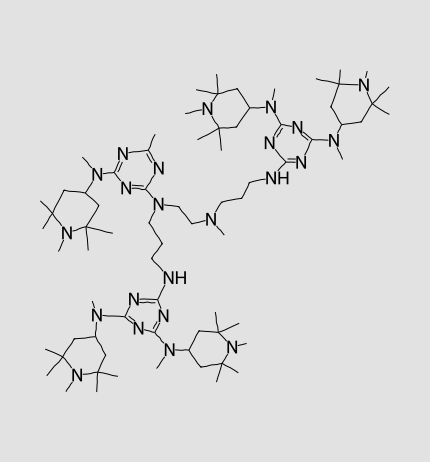 Cc1nc(N(CCCNc2nc(N(C)C3CC(C)(C)N(C)C(C)(C)C3)nc(N(C)C3CC(C)(C)N(C)C(C)(C)C3)n2)CCN(C)CCCNc2nc(N(C)C3CC(C)(C)N(C)C(C)(C)C3)nc(N(C)C3CC(C)(C)N(C)C(C)(C)C3)n2)nc(N(C)C2CC(C)(C)N(C)C(C)(C)C2)n1